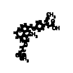 CC#C[C@@H](CC(=O)O)c1ccc(OCc2ccc3c(c2)-c2c(C)nc(OCCCS(C)(=O)=O)nc2CCC3)cc1